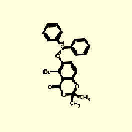 CC1(C)OC(=O)c2c(ccc(O[SiH](c3ccccc3)c3ccccc3)c2C(C)(C)C)O1